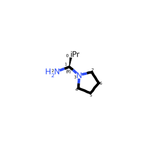 CC(C)[C@H](N)N1CCCC1